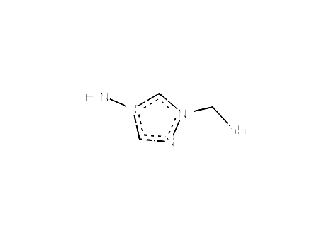 CCCC[n+]1cn(N)cn1